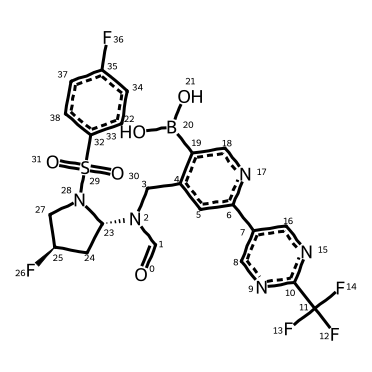 O=CN(Cc1cc(-c2cnc(C(F)(F)F)nc2)ncc1B(O)O)[C@@H]1C[C@@H](F)CN1S(=O)(=O)c1ccc(F)cc1